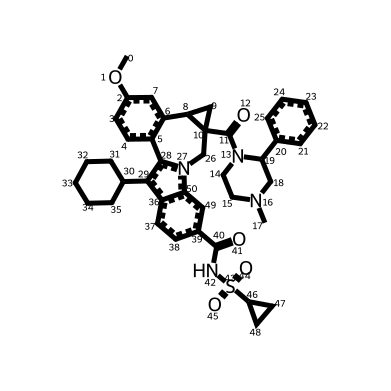 COc1ccc2c(c1)C1CC1(C(=O)N1CCN(C)CC1c1ccccc1)Cn1c-2c(C2CCCCC2)c2ccc(C(=O)NS(=O)(=O)C3CC3)cc21